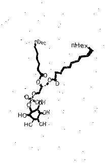 CCCCCC/C=C\CCCCCCCC(=O)OC[C@H](COP(=O)(O)OC1C(O)C(O)C(O)[C@@H](O)C1O)OC(=O)CCCCCCCCCCCCCCC